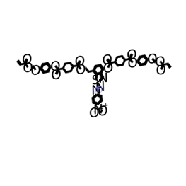 C=CC(=O)OCOc1ccc(OC(=O)C2CCC(C(=O)OCCc3ccc(OC(=O)C4CCC(C(=O)Oc5ccc(OCOC(=O)C=C)cc5)CC4)c4nc(/N=N/c5ccc([N+](=O)[O-])cc5)sc34)CC2)cc1